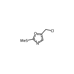 CSc1ncc(CCl)o1